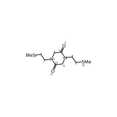 CSCCN1CC(=O)N(CCSC)CC1=O